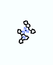 c1ccc(-c2nc(-n3c4ccccc4c4c3c3cccc5c6ccccc6c4n53)nc3c2ccc2ccccc23)cc1